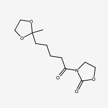 CC1(CCCCC(=O)N2CCOC2=O)OCCO1